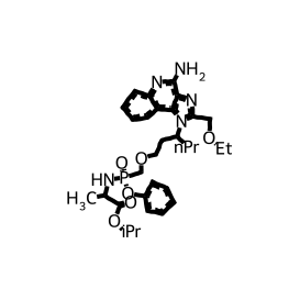 CCCC(CCOCP(=O)(NC(C)C(=O)OC(C)C)Oc1ccccc1)n1c(COCC)nc2c(N)nc3ccccc3c21